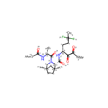 CNC(=O)C(=O)[C@H](CCC(C)(F)F)NC(=O)[C@@H]1[C@@H]2CC[C@@H](C2)CN1C(=O)[C@@H](NC(=O)OC)C(C)(C)C